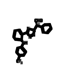 O=C[C@H](c1ccccc1)n1nnc(-c2ccccc2Nc2ccc(C(F)(F)F)cc2)n1